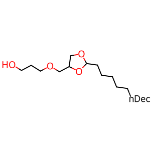 CCCCCCCCCCCCCCCC1OCC(COCCCO)O1